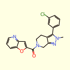 Cn1nc2c(c1-c1cccc(Cl)c1)CCN(C(=O)c1cc3ncccc3o1)C2